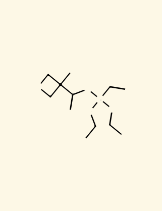 CCO[Si](CC)(OCC)OC(C)C1(C)COC1